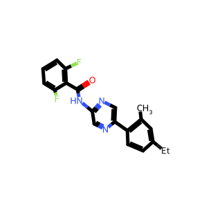 CCc1ccc(-c2cnc(NC(=O)c3c(F)cccc3F)cn2)c(C)c1